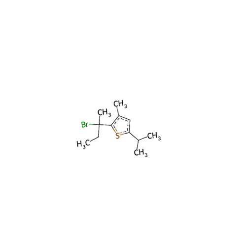 CCC(C)(Br)c1sc(C(C)C)cc1C